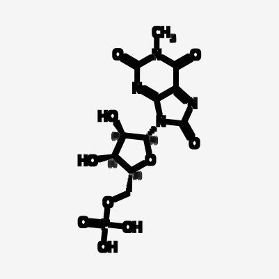 CN1C(=O)N=C2C(=NC(=O)N2[C@@H]2O[C@H](COP(=O)(O)O)[C@@H](O)[C@H]2O)C1=O